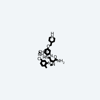 Cc1ccc(Cl)cc1-n1cnc(C(N)=O)c1-c1nc2cc(OCC3CCNCC3)ccc2[nH]1.NC=O